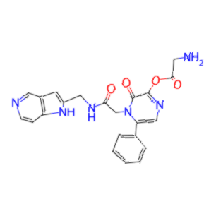 NCC(=O)Oc1ncc(-c2ccccc2)n(CC(=O)NCc2cc3cnccc3[nH]2)c1=O